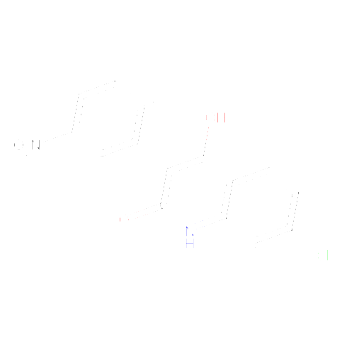 O=c1[nH]c2cc(Cl)ccc2c(O)c1-c1cccc([N+](=O)[O-])c1